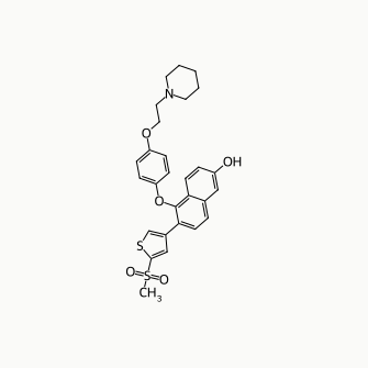 CS(=O)(=O)c1cc(-c2ccc3cc(O)ccc3c2Oc2ccc(OCCN3CCCCC3)cc2)cs1